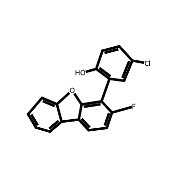 Oc1ccc(Cl)cc1-c1c(F)ccc2c1oc1ccccc12